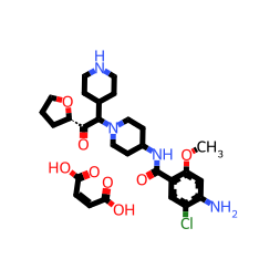 COc1cc(N)c(Cl)cc1C(=O)NC1CCN(C(C(=O)[C@@H]2CCCO2)C2CCNCC2)CC1.O=C(O)/C=C\C(=O)O